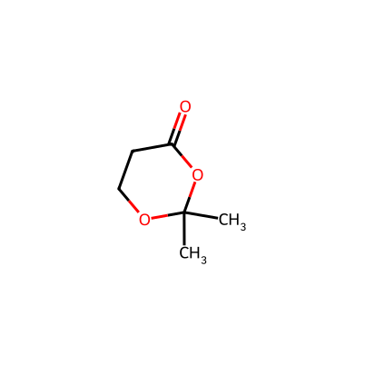 CC1(C)OCCC(=O)O1